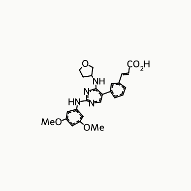 COc1cc(Nc2ncc(-c3cccc(C=CC(=O)O)c3)c(NC3CCOC3)n2)cc(OC)c1